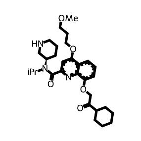 COCCCOc1cc(C(=O)N(C(C)C)[C@@H]2CCCNC2)nc2c(OCC(=O)C3CCCCC3)cccc12